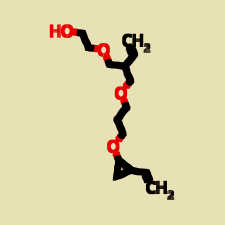 C=CC(COCCO)COCCCOC1CC1C=C